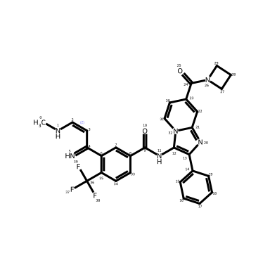 CN/C=C\C(=N)c1cc(C(=O)Nc2c(-c3ccccc3)nc3cc(C(=O)N4CCC4)ccn23)ccc1C(F)(F)F